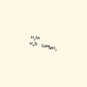 [GeH4].[SeH2].[SiH4].[TeH2]